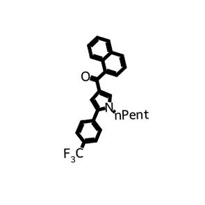 CCCCCn1cc(C(=O)c2cccc3ccccc23)cc1-c1ccc(C(F)(F)F)cc1